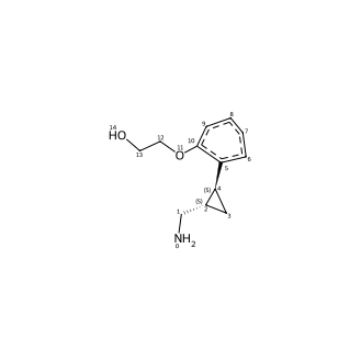 NC[C@H]1C[C@@H]1c1ccccc1OCCO